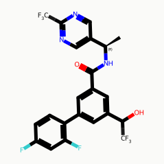 C[C@@H](NC(=O)c1cc(-c2ccc(F)cc2F)cc(C(O)C(F)(F)F)c1)c1cnc(C(F)(F)F)nc1